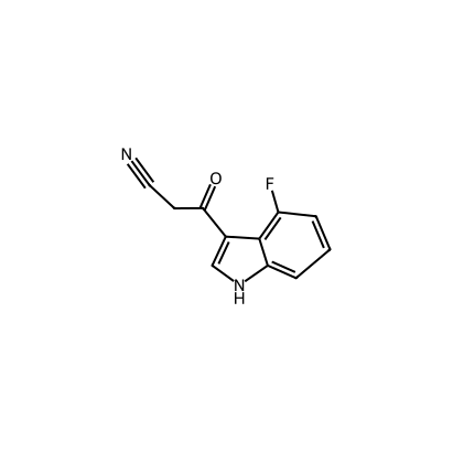 N#CCC(=O)c1c[nH]c2cccc(F)c12